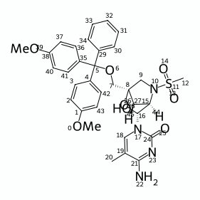 COc1ccc(C(OC[C@@]23CN(S(C)(=O)=O)[C@@H]([C@H](n4cc(C)c(N)nc4=O)O2)[C@@H]3O)(c2ccccc2)c2ccc(OC)cc2)cc1